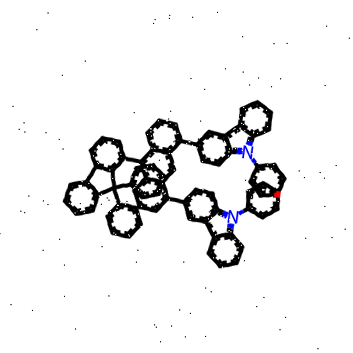 c1ccc(-n2c3ccccc3c3cc(-c4cccc5c(-c6cccc7c6C(c6ccccc6)(c6ccccc6)c6ccccc6-7)c6cccc(-c7ccc8c(c7)c7ccccc7n8-c7ccccc7)c6cc45)ccc32)cc1